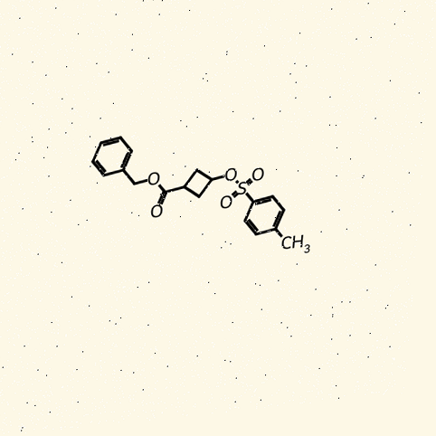 Cc1ccc(S(=O)(=O)OC2CC(C(=O)OCc3ccccc3)C2)cc1